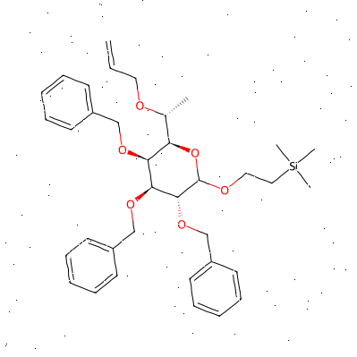 C=CCO[C@H](C)[C@H]1OC(OCC[Si](C)(C)C)[C@H](OCc2ccccc2)[C@@H](OCc2ccccc2)[C@H]1OCc1ccccc1